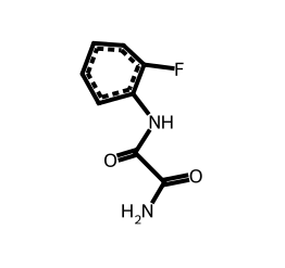 NC(=O)C(=O)Nc1ccccc1F